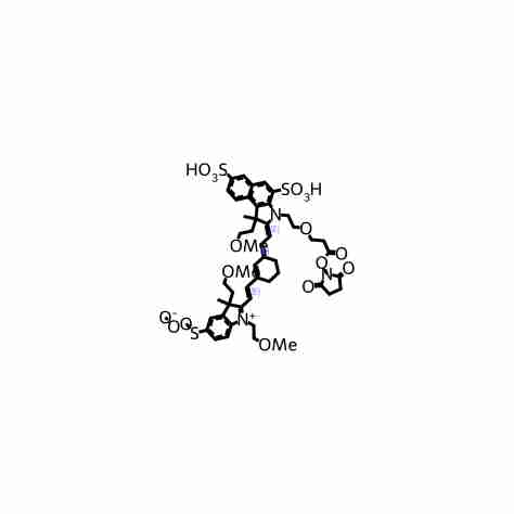 COCC[N+]1=C(/C=C/C2=CC(=C/C=C3/N(CCOCCC(=O)ON4C(=O)CCC4=O)c4c(S(=O)(=O)O)cc5cc(S(=O)(=O)O)ccc5c4C3(C)CCOC)/CCC2)C(C)(CCOC)c2cc(SOO[O-])ccc21